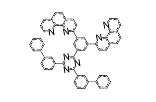 c1ccc(-c2cccc(-c3nc(-c4cccc(-c5ccccc5)c4)nc(-c4cc(-c5ccc6ccc7cccnc7c6n5)cc(-c5ccc6ccc7cccnc7c6n5)c4)n3)c2)cc1